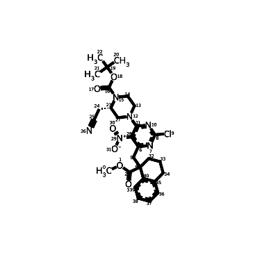 COC(=O)C1(Cc2nc(Cl)nc(N3CCN(C(=O)OC(C)(C)C)[C@@H](CC#N)C3)c2[N+](=O)[O-])CCCc2ccccc21